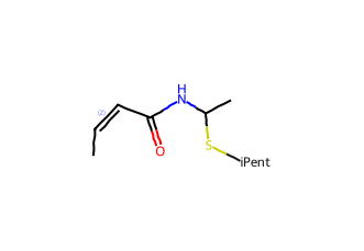 C/C=C\C(=O)NC(C)SC(C)CCC